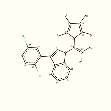 CC1=C(C)[CH]([Zr]([CH]2C=C(c3cc(F)ccc3F)c3ccccc32)=[Si](C)C)C(C)=C1C